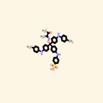 CC(=O)/C(C)=N/OC(c1ccc(Nc2ccc(C)cc2)cc1)(c1ccc(Nc2ccc(C)cc2)cc1)c1ccc(Nc2ccc(S(=O)(=O)O)cc2)cc1